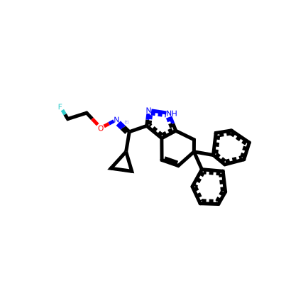 FCCO/N=C(/c1n[nH]c2c1C=CC(c1ccccc1)(c1ccccc1)C2)C1CC1